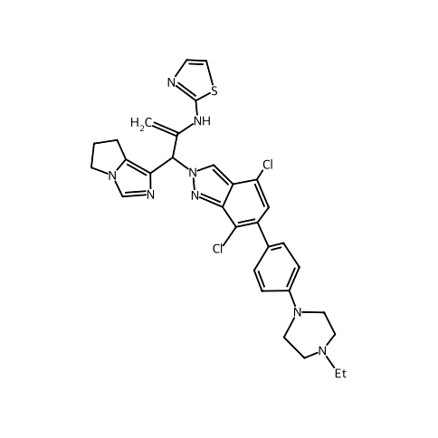 C=C(Nc1nccs1)C(c1ncn2c1CCC2)n1cc2c(Cl)cc(-c3ccc(N4CCN(CC)CC4)cc3)c(Cl)c2n1